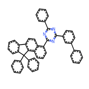 c1ccc(-c2cccc(-c3nc(-c4ccccc4)nc(-c4cccc5c6c(ccc45)-c4ccccc4C6(c4ccccc4)c4ccccc4)n3)c2)cc1